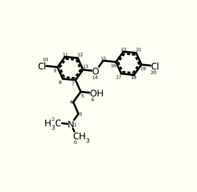 CN(C)CCC(O)c1cc(Cl)ccc1OCc1ccc(Cl)cc1